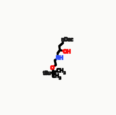 CCCCCCCCCCCCC(O)CNCCO[Si](C)(C)C(C)(C)C